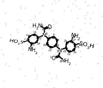 NC(=O)N(c1ccc(N(C(N)=O)c2ccc(S(=O)(=O)O)c(N)c2)cc1)c1ccc(S(=O)(=O)O)c(N)c1